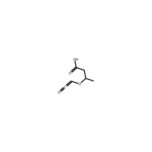 CC(CC(=O)O)O[C]=C=O